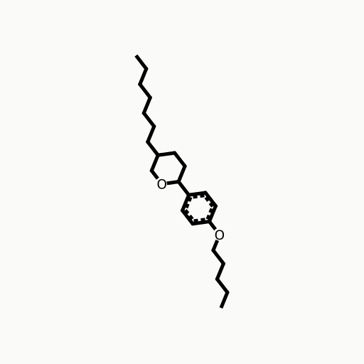 CCCCCCCC1CCC(c2ccc(OCCCCC)cc2)OC1